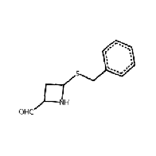 O=CC1CC(SCc2ccccc2)N1